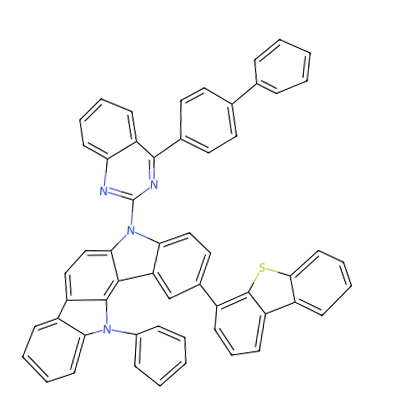 c1ccc(-c2ccc(-c3nc(-n4c5ccc(-c6cccc7c6sc6ccccc67)cc5c5c4ccc4c6ccccc6n(-c6ccccc6)c45)nc4ccccc34)cc2)cc1